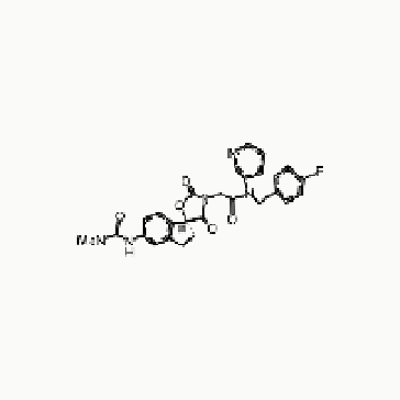 CNC(=O)Nc1ccc2c(c1)CC[C@@]21OC(=O)N(CC(=O)N(Cc2ccc(F)cc2)c2cccnc2)C1=O